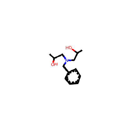 CC(O)CN(Cc1ccccc1)CC(C)O